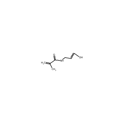 C=C(C)C(=O)NCC=CO